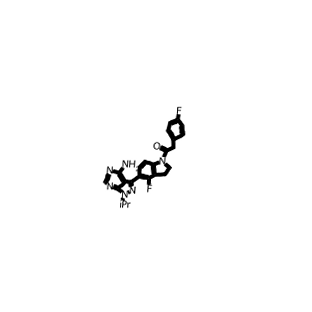 CC(C)n1nc(-c2ccc3c(c2F)CCN3C(=O)Cc2ccc(F)cc2)c2c(N)ncnc21